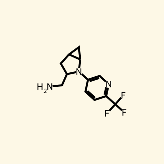 NCC1CC2CC2N1c1ccc(C(F)(F)F)nc1